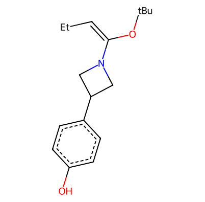 CC/C=C(/OC(C)(C)C)N1CC(c2ccc(O)cc2)C1